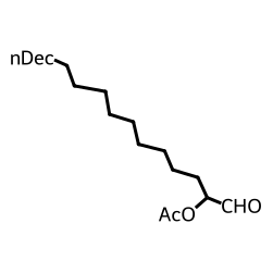 CCCCCCCCCCCCCCCCCCCC(C=O)OC(C)=O